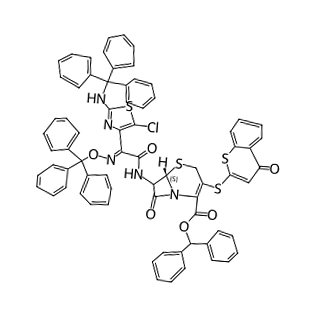 O=C(NC1C(=O)N2C(C(=O)OC(c3ccccc3)c3ccccc3)=C(Sc3cc(=O)c4ccccc4s3)CS[C@@H]12)C(=NOC(c1ccccc1)(c1ccccc1)c1ccccc1)c1nc(NC(c2ccccc2)(c2ccccc2)c2ccccc2)sc1Cl